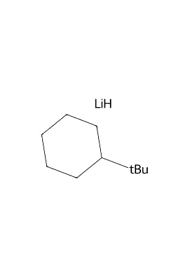 CC(C)(C)C1CCCCC1.[LiH]